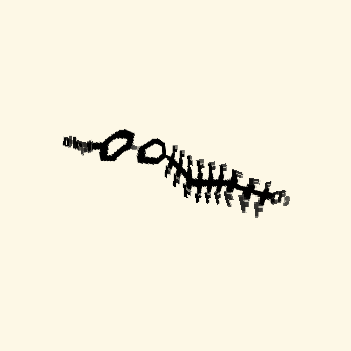 CCCCCCCc1ccc([C@H]2CC[C@H](C(F)(F)C(F)(F)C(F)(F)C(F)(F)C(F)(F)C(F)(F)C(F)(F)C(F)(F)C(F)(F)C(F)(F)F)CC2)cc1